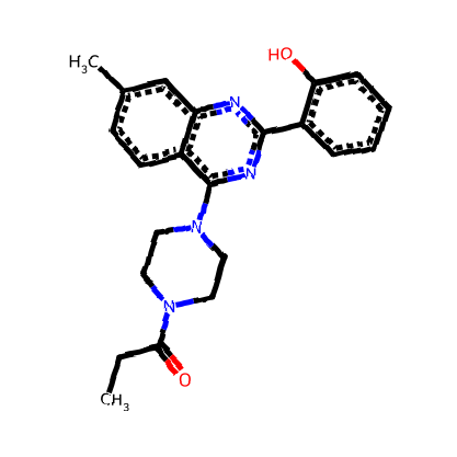 CCC(=O)N1CCN(c2nc(-c3ccccc3O)nc3cc(C)ccc23)CC1